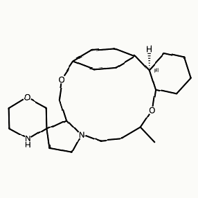 CC1CCN2CCC3(COCCN3)C2COC2CCC(CC2)[C@H]2CCCCC2O1